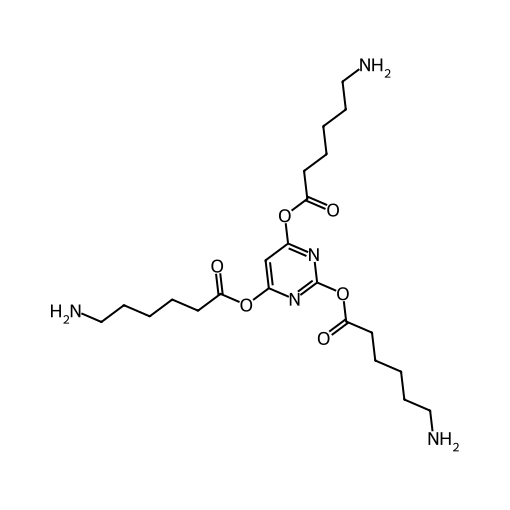 NCCCCCC(=O)Oc1cc(OC(=O)CCCCCN)nc(OC(=O)CCCCCN)n1